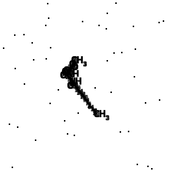 CCC=CCC=CCC=CCC=CCC=CCCCC(=O)NCCCC(NC(=O)C=CC(=O)OCC)C(=O)O